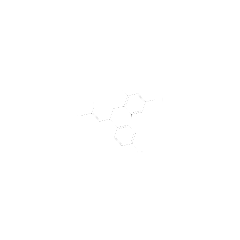 Oc1ccc(C(C=C(Cl)Cl)Cc2c(F)cc(O)cc2F)cc1